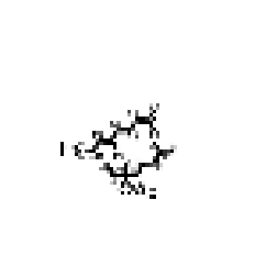 C=CC(C)(CCC=C(C)C)OC(C)=O.CC(C)=CCC/C(C)=C/CO